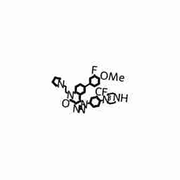 COc1ccc(-c2ccc3c(c2)c2c(nnn2-c2ccc(N4CCNCC4)c(C(F)(F)F)c2)c(=O)n3CCn2cccc2)cc1F